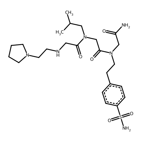 CC(C)CN(CC(=O)N(CCc1ccc(S(N)(=O)=O)cc1)CC(N)=O)C(=O)CNCCN1CCCC1